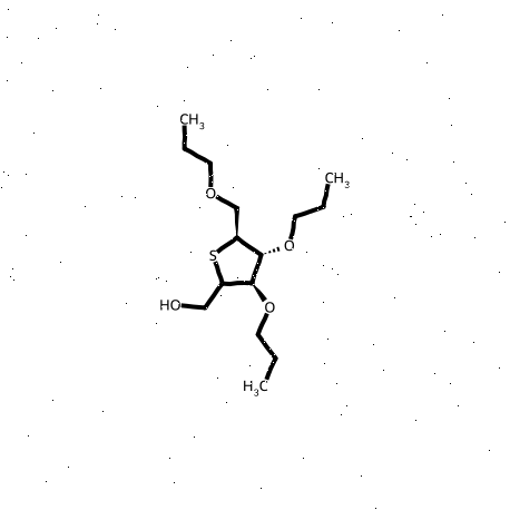 CCCOC[C@@H]1SC(CO)[C@H](OCCC)[C@H]1OCCC